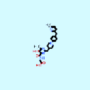 Cc1ccc(Cc2ccc(N3CCC(Cc4nc(C)c(O)c(C(=O)NCC(=O)O)n4)CC3)cc2)cn1